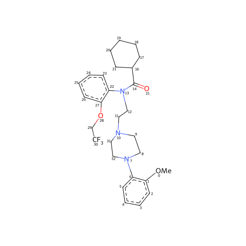 COc1ccccc1N1CCN(CCN(C(=O)C2CCCCC2)c2ccccc2OCC(F)(F)F)CC1